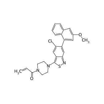 C=CC(=O)N1CCN(c2snc3cc(-c4cc(OC)cc5ccccc45)c(Cl)cc23)CC1